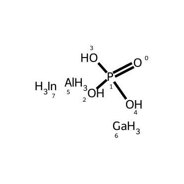 O=P(O)(O)O.[AlH3].[GaH3].[InH3]